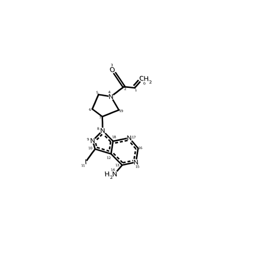 C=CC(=O)N1CCC(n2nc(I)c3c(N)ncnc32)C1